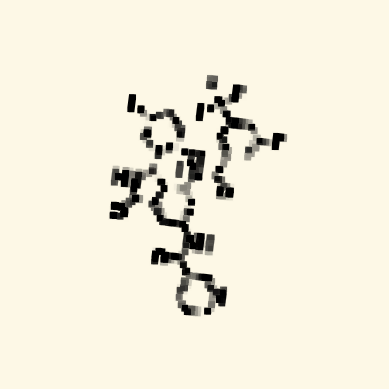 O=C(Nc1cc(NC(=O)c2cc(F)cc(C(F)(F)F)c2)c2c(c1)C(=O)N[C@H]2c1cc(F)ccc1Cl)c1cccnc1